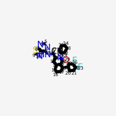 C[C@H](Nc1ncnc2scnc12)c1cc2cccc(-c3ccc(F)c(F)c3)c2c(=O)n1-c1ccccc1